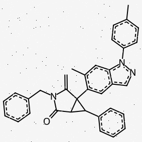 C=C1N(Cc2ccccc2)C(=O)C2C(c3ccccc3)C12c1cc2cnn(-c3ccc(C)cc3)c2cc1C